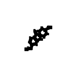 C=C1c2ccc(OCC)cc2CC12CCC(O)CC2